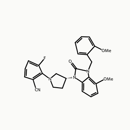 COc1ccccc1Cn1c(=O)n([C@@H]2CCN(c3c(F)cccc3C#N)C2)c2cccc(OC)c21